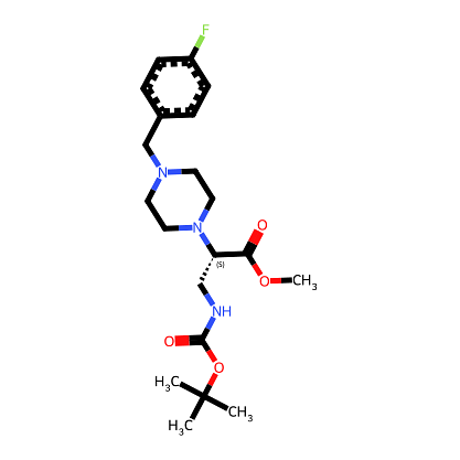 COC(=O)[C@H](CNC(=O)OC(C)(C)C)N1CCN(Cc2ccc(F)cc2)CC1